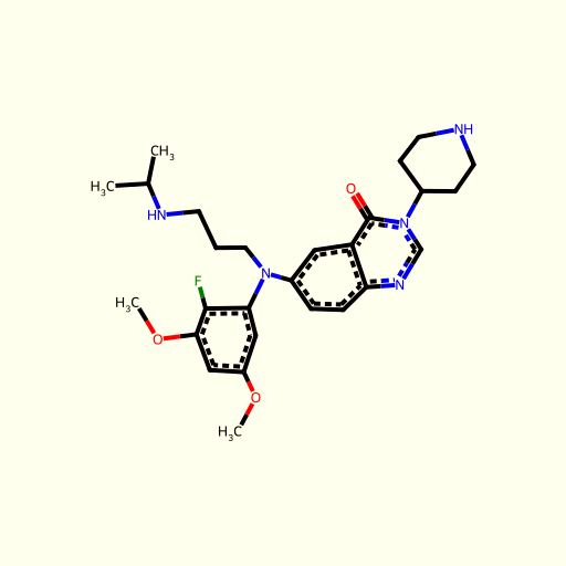 COc1cc(OC)c(F)c(N(CCCNC(C)C)c2ccc3ncn(C4CCNCC4)c(=O)c3c2)c1